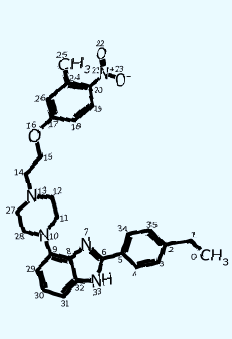 CCc1ccc(-c2nc3c(N4CCN(CCOc5ccc([N+](=O)[O-])c(C)c5)CC4)cccc3[nH]2)cc1